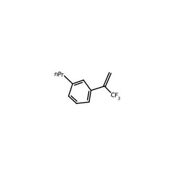 C=C(c1cccc(CCC)c1)C(F)(F)F